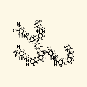 N#Cc1ccc(NC(=O)Nc2ccc(Oc3ccc4ncc(N5CCOCC5)nc4c3)cc2)cc1C(F)(F)F.N#Cc1ccc(NC(=O)Nc2ccc(Oc3ccc4ncc(N5CCOCC5)nc4c3)cc2)cc1Cl.O=C(Nc1ccc(Oc2ccc3ncc(N4CCOCC4)nc3c2)cc1)Nc1ccc(Cl)c(Cl)c1